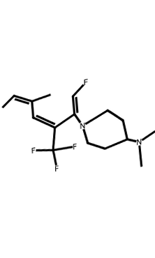 C\C=C(C)/C=C(\C(=C\F)N1CCC(N(C)C)CC1)C(F)(F)F